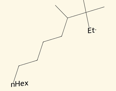 C[CH]C(C)(C)C(C)CCCCCCCCCC